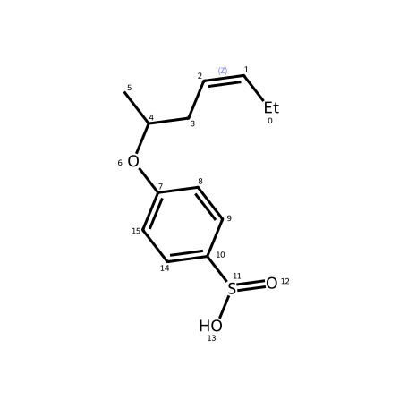 CC/C=C\CC(C)Oc1ccc(S(=O)O)cc1